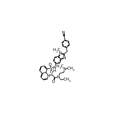 CCN(CCN(C)C)C(=O)CN1C=CC=C2C=CC=C(S(=O)(=O)Nc3ccc4c(c3)nc(Cc3ccc(C#N)cc3)n4C)C21